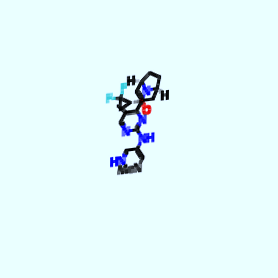 CN/C=C(\C=N)Nc1ncc(C)c(C2=C[C@H]3CC[C@@H](C2)N3C(=O)[C@@H]2CC2(F)F)n1